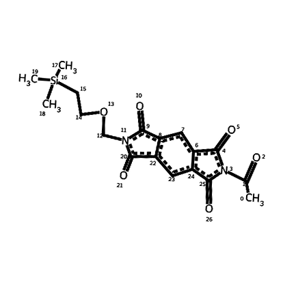 CC(=O)n1c(=O)c2cc3c(=O)n(COCC[Si](C)(C)C)c(=O)c3cc2c1=O